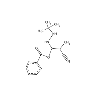 CC(C#N)C(NNC(C)(C)C)OC(=O)c1ccccc1